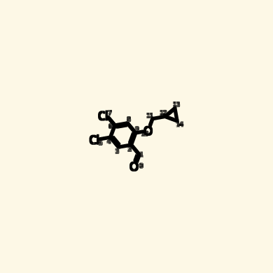 O=Cc1cc(Cl)c(Cl)cc1OCC1CC1